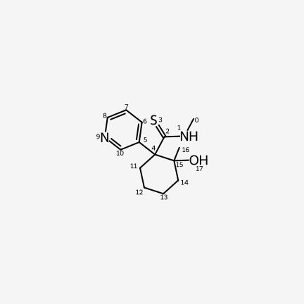 CNC(=S)C1(c2cccnc2)CCCCC1(C)O